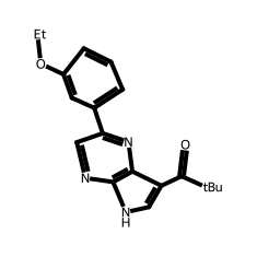 CCOc1cccc(-c2cnc3[nH]cc(C(=O)C(C)(C)C)c3n2)c1